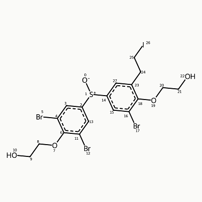 [O-][S+](c1cc(Br)c(OCCO)c(Br)c1)c1cc(Br)c(OCCO)c(CCI)c1